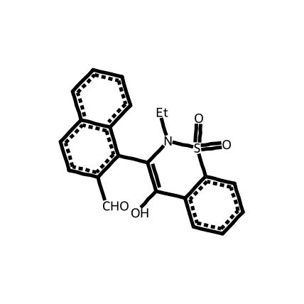 CCN1C(c2c(C=O)ccc3ccccc23)=C(O)c2ccccc2S1(=O)=O